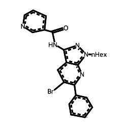 CCCCCCn1nc(NC(=O)c2cccnc2)c2cc(Br)c(-c3cc[c]cc3)nc21